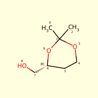 CC1(C)OCC[C@H](CO)O1